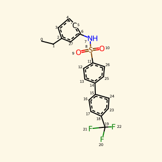 CCc1cccc(NS(=O)(=O)c2ccc(-c3ccc(C(F)(F)F)cc3)cc2)c1